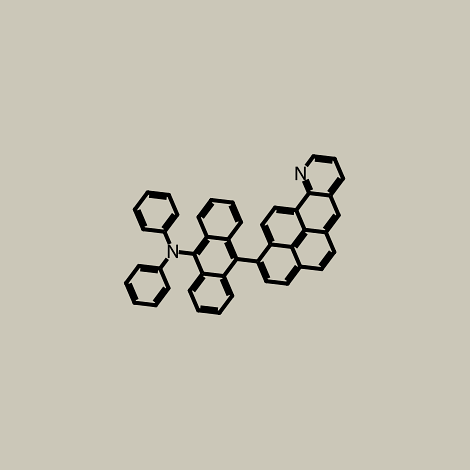 c1ccc(N(c2ccccc2)c2c3ccccc3c(-c3ccc4ccc5cc6cccnc6c6ccc3c4c56)c3ccccc23)cc1